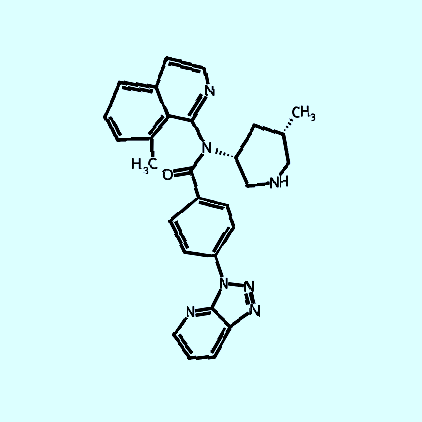 Cc1cccc2ccnc(N(C(=O)c3ccc(-n4nnc5cccnc54)cc3)[C@H]3CNC[C@@H](C)C3)c12